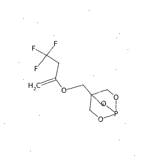 C=C(CC(F)(F)F)OCC12COP(OC1)OC2